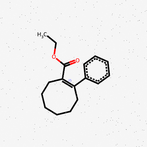 CCOC(=O)/C1=C(\c2ccccc2)CCCCCC1